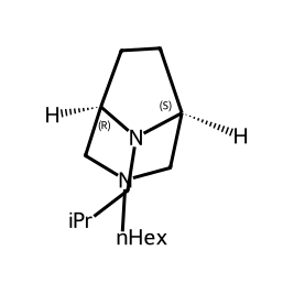 CCCCCCN1C[C@H]2CC[C@@H](C1)N2CC(C)C